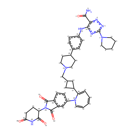 NC(=O)c1nnc(N2CCCCC2)nc1Nc1ccc(C2CCN(CC3CC(C4=CC=CC=CN4c4ccc5c(c4)C(=O)N(C4CCC(=O)NC4=O)C5=O)C3)CC2)cc1